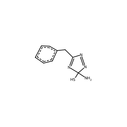 NC1(S)N=NC(Cc2ccccc2)=N1